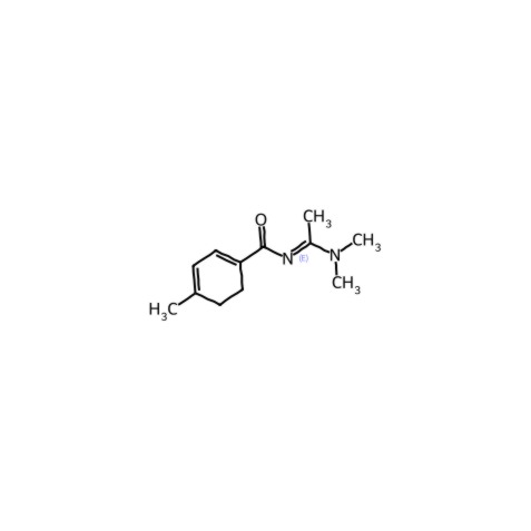 CC1=CC=C(C(=O)/N=C(\C)N(C)C)CC1